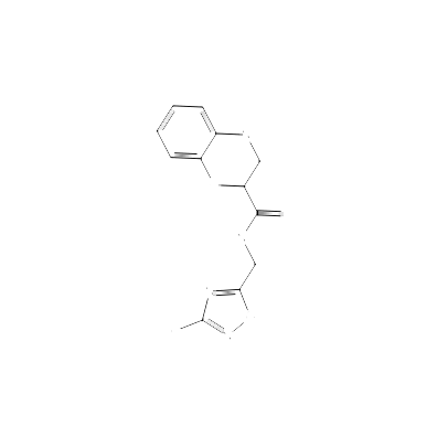 Cc1noc(CNC(=O)C2CNc3ccccc3O2)n1